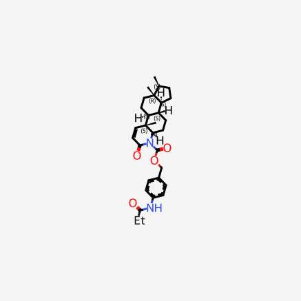 CCC(=O)Nc1ccc(COC(=O)N2C(=O)C=C[C@]3(C)[C@H]4CC[C@]5(C)[C@@H](C)CC[C@H]5[C@@H]4CC[C@@H]23)cc1